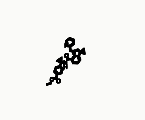 CCOC(=O)c1ccc(C2(NC(=O)c3cccc4c3N(Cc3ccccn3)CC43CC3)CC2)cc1